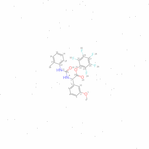 COc1cccc(C(NC(=O)Nc2ccccc2C)C(=O)Oc2c(F)c(F)c(F)c(F)c2F)c1